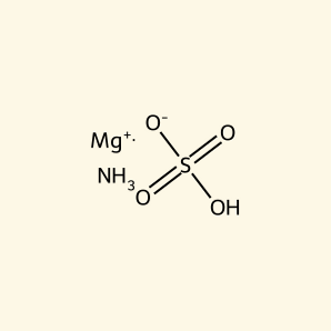 N.O=S(=O)([O-])O.[Mg+]